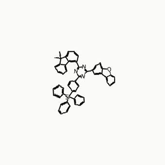 CC1(C)c2ccccc2-c2c(-c3nc(-c4ccc([Si](c5ccccc5)(c5ccccc5)c5ccccc5)cc4)nc(-c4ccc5oc6ccccc6c5c4)n3)cccc21